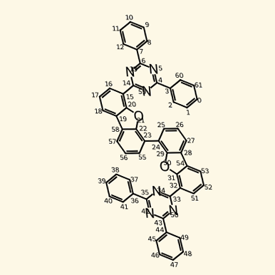 c1ccc(-c2nc(-c3ccccc3)nc(-c3cccc4c3oc3c(-c5cccc6c5oc5c(-c7nc(-c8ccccc8)nc(-c8ccccc8)n7)cccc56)cccc34)n2)cc1